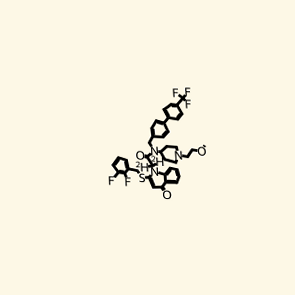 [2H]C([2H])(C(=O)N(Cc1ccc(-c2ccc(C(F)(F)F)cc2)cc1)C1CCN(CCOC)CC1)n1c(SCc2cccc(F)c2F)cc(=O)c2ccccc21